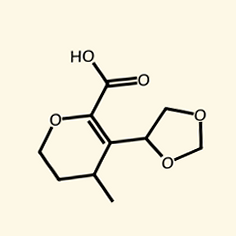 CC1CCOC(C(=O)O)=C1C1COCO1